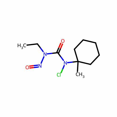 CCN(N=O)C(=O)N(Cl)C1(C)CCCCC1